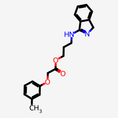 Cc1cccc(OCC(=O)OCCCNC2=NCc3ccccc32)c1